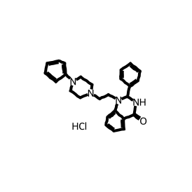 Cl.O=C1NC(c2ccccc2)N(CCN2CCN(c3ccccc3)CC2)c2ccccc21